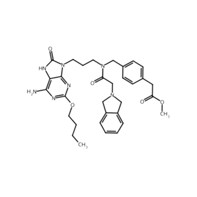 CCCCOc1nc(N)c2[nH]c(=O)n(CCCN(Cc3ccc(CC(=O)OC)cc3)C(=O)CN3Cc4ccccc4C3)c2n1